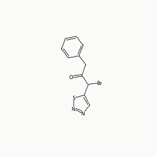 O=C(Cc1ccccc1)C(Br)c1cnns1